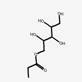 CCC(=O)OCC(O)C(O)C(O)CO